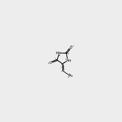 CCC(C)/C=C1\NC(=O)NC1=O